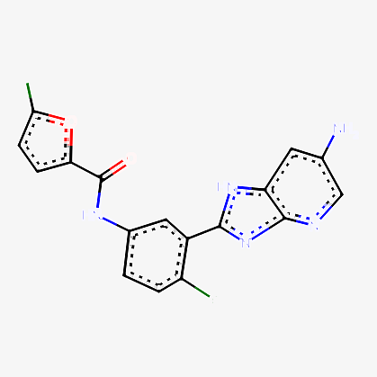 Nc1cnc2nc(-c3cc(NC(=O)c4ccc(F)o4)ccc3Cl)[nH]c2c1